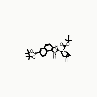 CC(C)(C)OC(=O)N1C2C[C@@H]2C[C@H]1c1nc2ccc3cc(B4OC(C)(C)C(C)(C)O4)ccc3c2[nH]1